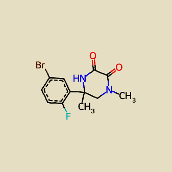 CN1CC(C)(c2cc(Br)ccc2F)NC(=O)C1=O